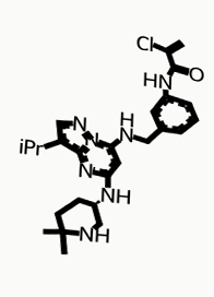 C=C(Cl)C(=O)Nc1cccc(CNc2cc(N[C@H]3CCC(C)(C)NC3)nc3c(C(C)C)cnn23)c1